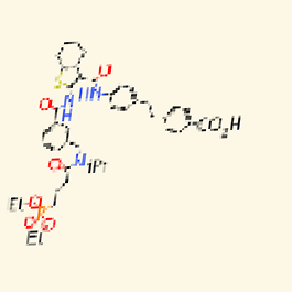 CCOP(=O)(CCCC(=O)N(Cc1cccc(C(=O)Nc2sc3c(c2C(=O)Nc2ccc(CCc4ccc(C(=O)O)cc4)cc2)CCCC3)c1)C(C)C)OCC